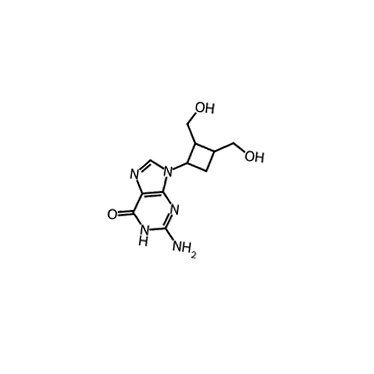 Nc1nc2c(ncn2C2CC(CO)C2CO)c(=O)[nH]1